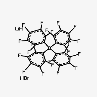 Br.Fc1c(F)c(F)c([B-](c2c(F)c(F)c(F)c(F)c2F)(c2c(F)c(F)c(F)c(F)c2F)c2c(F)c(F)c(F)c(F)c2F)c(F)c1F.[LiH]